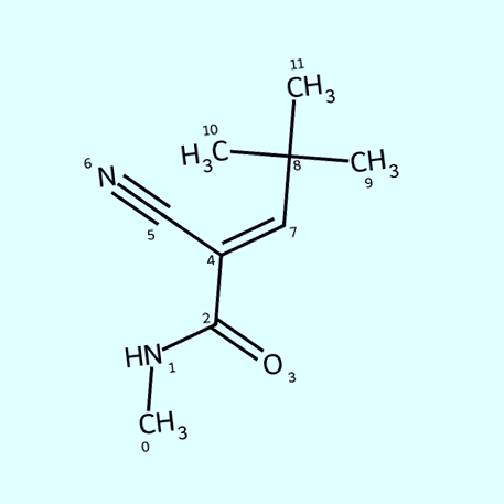 CNC(=O)/C(C#N)=C/C(C)(C)C